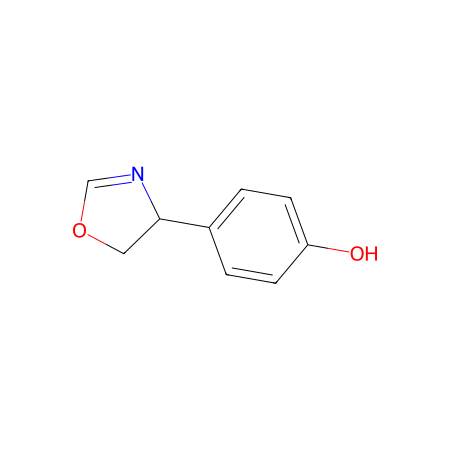 Oc1ccc(C2COC=N2)cc1